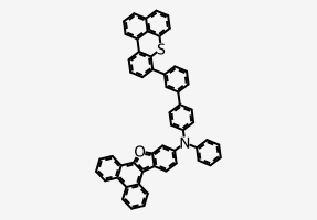 c1ccc(N(c2ccc(-c3cccc(-c4cccc5c4Sc4cccc6cccc-5c46)c3)cc2)c2ccc3c(c2)oc2c4ccccc4c4ccccc4c32)cc1